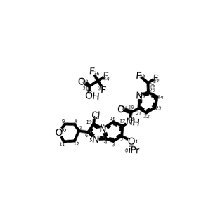 CC(C)Oc1cc2nc(C3CCOCC3)c(Cl)n2cc1NC(=O)c1cccc(C(F)F)n1.O=C(O)C(F)(F)F